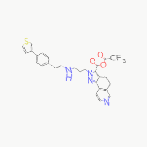 O=C(OC(=O)C(F)(F)F)c1c2c(nn1CCCNCCc1ccc(-c3ccsc3)cc1)-c1ccncc1CC2